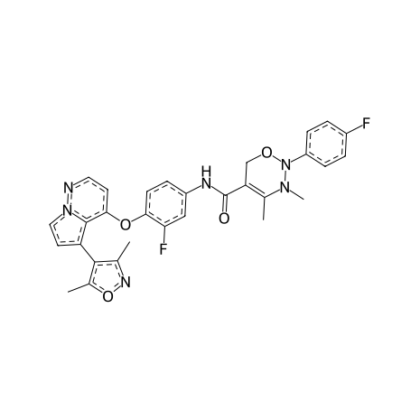 CC1=C(C(=O)Nc2ccc(Oc3ccnn4ccc(-c5c(C)noc5C)c34)c(F)c2)CON(c2ccc(F)cc2)N1C